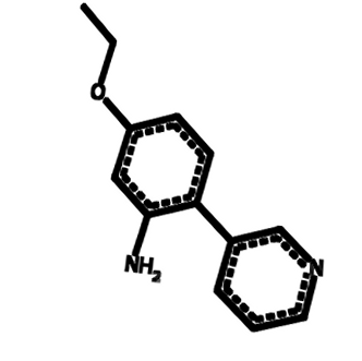 CCOc1ccc(-c2cccnc2)c(N)c1